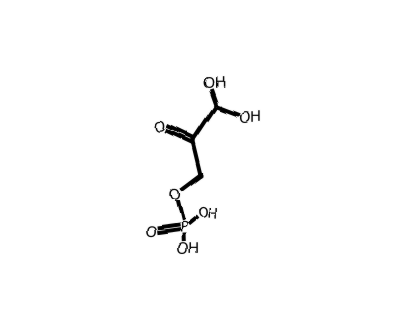 O=C(COP(=O)(O)O)C(O)O